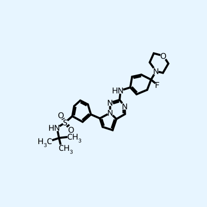 CC(C)(C)NS(=O)(=O)c1cccc(-c2ccc3cnc(NC4=CCC(F)(N5CCOCC5)C=C4)nn23)c1